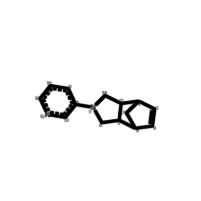 C1=CC2CC1C1CN(c3cccnc3)CC21